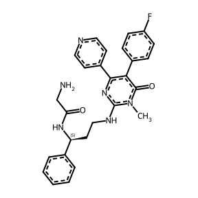 Cn1c(NCC[C@H](NC(=O)CN)c2ccccc2)nc(-c2ccncc2)c(-c2ccc(F)cc2)c1=O